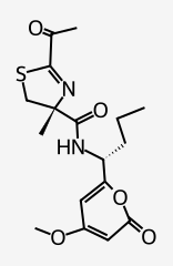 CCC[C@@H](NC(=O)[C@]1(C)CSC(C(C)=O)=N1)c1cc(OC)cc(=O)o1